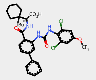 CC(C)(C)C1([C@H](NC(=O)c2ccc(-c3ccccc3)cc2NC(=O)Nc2c(Cl)cc(OC(F)(F)F)cc2Cl)C(=O)O)CCCCC1